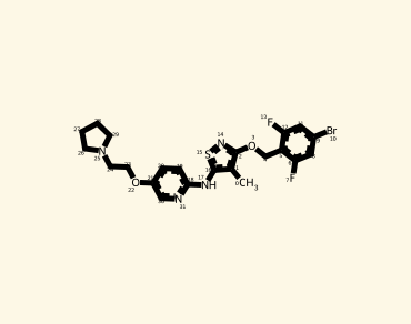 Cc1c(OCc2c(F)cc(Br)cc2F)nsc1Nc1ccc(OCCN2CCCC2)cn1